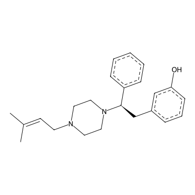 CC(C)=CCN1CCN([C@H](Cc2cccc(O)c2)c2ccccc2)CC1